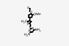 COc1cc(-c2cc(CSc3nc(N)cc(N)n3)sc2C)ccc1OCCF